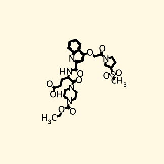 CCOC(=O)N1CCN(C(=O)C(CCC(=O)O)NC(=O)c2cc(OCC(=O)N3CCC(S(C)(=O)=O)C3)c3ccccc3n2)CC1